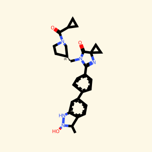 CC1c2ccc(-c3ccc(C4=NC5(CC5)C(=O)N4C[C@@H]4CCN(C(=O)C5CC5)C4)cc3)cc2NN1O